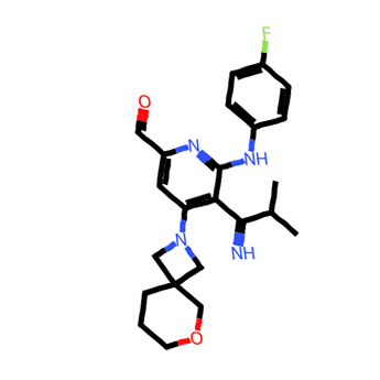 CC(C)C(=N)c1c(N2CC3(CCCOC3)C2)cc(C=O)nc1Nc1ccc(F)cc1